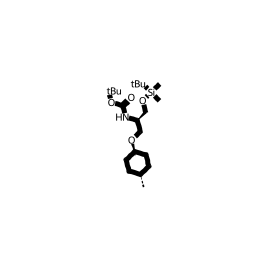 CC(C)(C)OC(=O)N[C@@H](CO[Si](C)(C)C(C)(C)C)CO[C@H]1CC[C@H](C)CC1